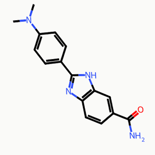 CN(C)c1ccc(-c2nc3ccc(C(N)=O)cc3[nH]2)cc1